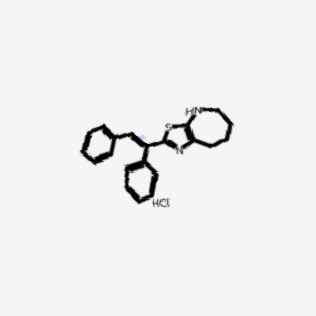 C(=C(/c1ccccc1)c1nc2c(s1)NCCCC2)/c1ccccc1.Cl